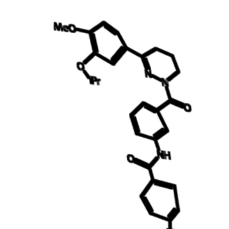 COc1ccc(C2=NN(C(=O)c3cccc(NC(=O)c4ccc(N)cc4)c3)CCC2)cc1OC(C)C